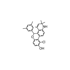 CC1=CC(C)(C)Nc2ccc3c(c21)C(c1cc(C)cc(C)c1)Oc1ccc(O)c(Cl)c1-3